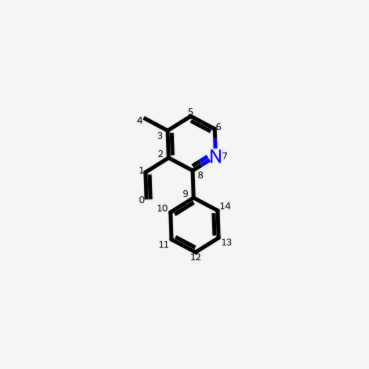 C=Cc1c(C)ccnc1-c1ccccc1